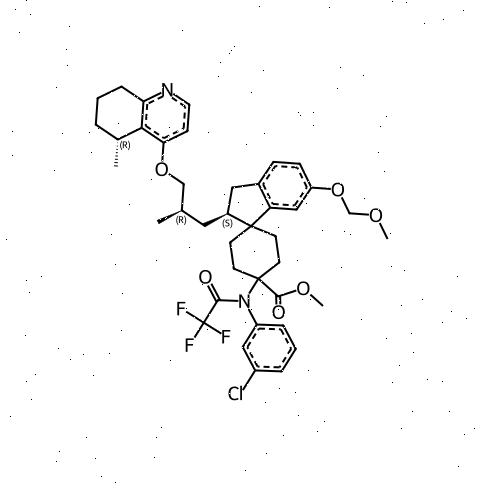 COCOc1ccc2c(c1)C1(CCC(C(=O)OC)(N(C(=O)C(F)(F)F)c3cccc(Cl)c3)CC1)[C@@H](C[C@@H](C)COc1ccnc3c1[C@H](C)CCC3)C2